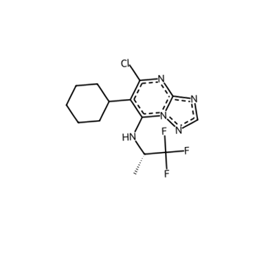 C[C@H](Nc1c(C2CCCCC2)c(Cl)nc2ncnn12)C(F)(F)F